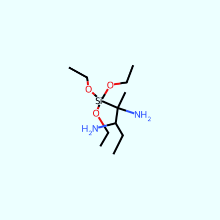 CCO[Si](OCC)(OCC)C(C)(N)C(N)CC